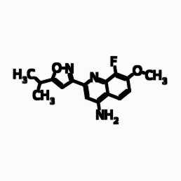 COc1ccc2c(N)cc(-c3cc(C(C)C)on3)nc2c1F